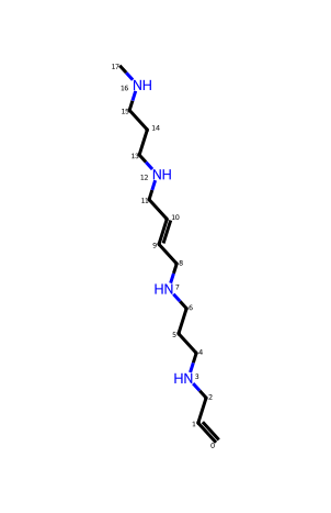 C=CCNCCCNCC=CCNCCCNC